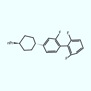 CCC[C@H]1CC[C@H](c2ccc(-c3c(F)cccc3F)c(F)c2)CC1